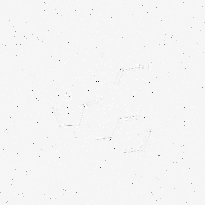 NC(=S)S.O=C1NC=CC1Cc1ccccc1